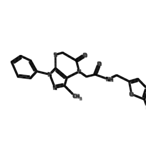 Cc1ccc(CNC(=O)CN2C(=O)CSc3c2c(C)nn3-c2ccccc2)o1